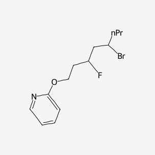 CCCC(Br)CC(F)CCOc1ccccn1